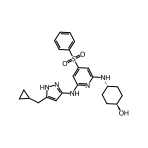 O=S(=O)(c1ccccc1)c1cc(Nc2cc(CC3CC3)[nH]n2)nc(N[C@H]2CC[C@H](O)CC2)c1